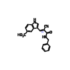 N#C/C(=C\c1c[nH]c2ccc(C(=O)O)cc12)C(=O)NCc1ccccc1